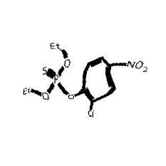 CCOP(=S)(OCC)Oc1ccc([N+](=O)[O-])cc1Cl